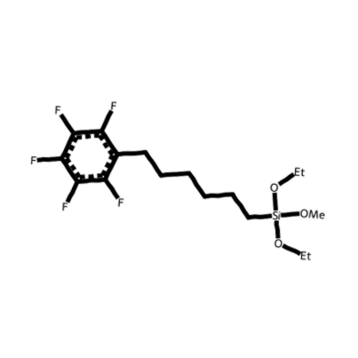 CCO[Si](CCCCCCc1c(F)c(F)c(F)c(F)c1F)(OC)OCC